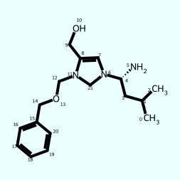 CC(C)C[C@@H](N)N1C=C(CO)N(COCc2ccccc2)C1